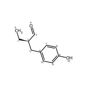 CC[C@@H](C=O)Cc1ccc(O)cc1